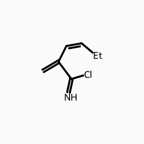 C=C(/C=C\CC)C(=N)Cl